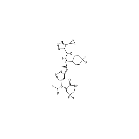 O=C(N[C@H](c1cn2ncc([C@@H](C(F)F)N3CC(F)(F)CNC3=O)cc2n1)C1CCC(F)(F)CC1)c1nonc1C1CC1